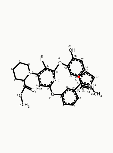 COC(=O)C1CCCCN1c1c(F)c(Oc2cccc(-c3nccn3C)c2)nc(Oc2cc(C(=N)N)ccc2O)c1F